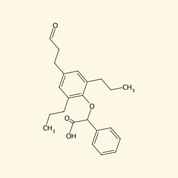 CCCc1cc(CCC=O)cc(CCC)c1OC(C(=O)O)c1ccccc1